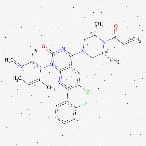 C=CC(=O)N1[C@H](C)CN(c2nc(=O)n(C(/C(C)=C\C)=C(/N=C)C(C)C)c3nc(-c4ccccc4F)c(Cl)cc23)C[C@@H]1C